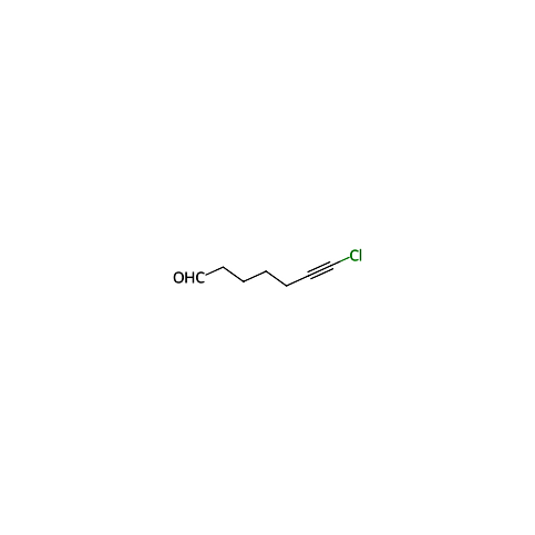 O=CCCCCC#CCl